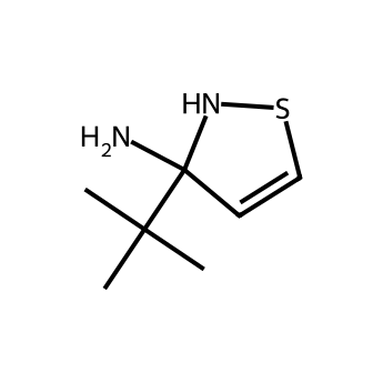 CC(C)(C)C1(N)C=CSN1